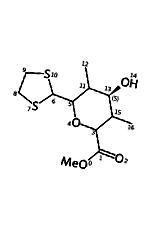 COC(=O)C1OC(C2SCCS2)C(C)[C@@H](O)C1C